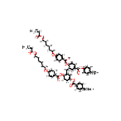 C=CC(=O)OCCCCCCOc1ccc(C(=O)Oc2ccc(OC(=O)c3ccc(OC)cc3)cc2Cc2cc(C(=O)Oc3ccc(CCC)cc3)ccc2OC(=O)c2ccc(OCCCCCCOC(=O)C=C)cc2)cc1